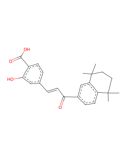 CC1(C)CCC(C)(C)c2cc(C(=O)/C=C/c3ccc(C(=O)O)c(O)c3)ccc21